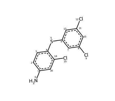 Nc1ccc(Sc2cc(Cl)cc(Cl)c2)c(Cl)c1